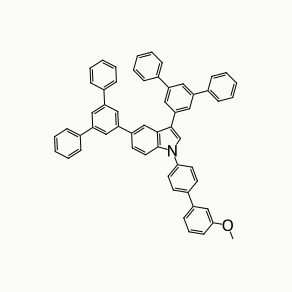 COc1cccc(-c2ccc(-n3cc(-c4cc(-c5ccccc5)cc(-c5ccccc5)c4)c4cc(-c5cc(-c6ccccc6)cc(-c6ccccc6)c5)ccc43)cc2)c1